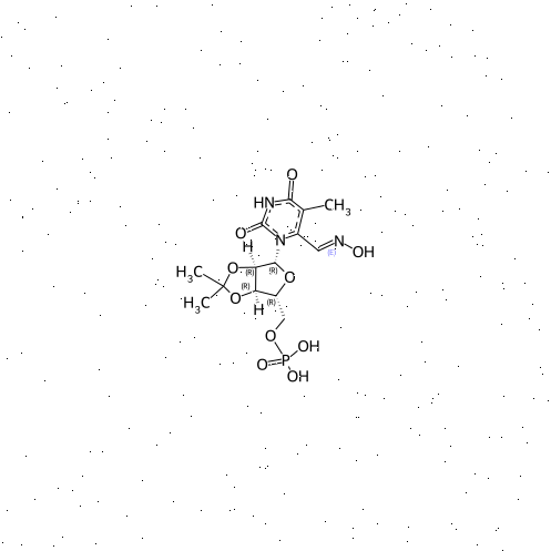 Cc1c(/C=N/O)n([C@@H]2O[C@H](COP(=O)(O)O)[C@H]3OC(C)(C)O[C@H]32)c(=O)[nH]c1=O